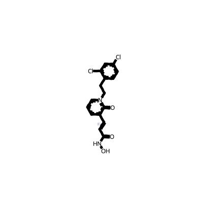 O=C(/C=C/c1cccn(CCc2ccc(Cl)cc2Cl)c1=O)NO